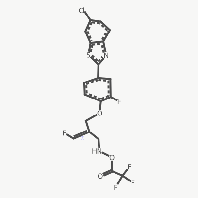 O=C(ONC/C(=C/F)COc1ccc(-c2nc3ccc(Cl)cc3s2)cc1F)C(F)(F)F